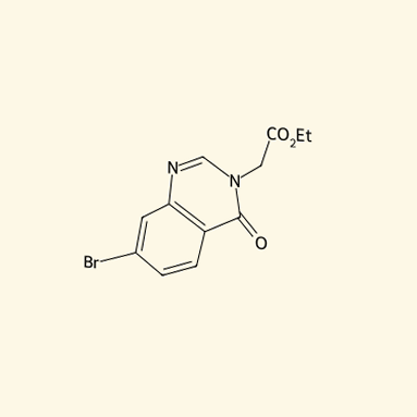 CCOC(=O)Cn1cnc2cc(Br)ccc2c1=O